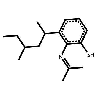 CCC(C)CC(C)c1cccc(S)c1N=C(C)C